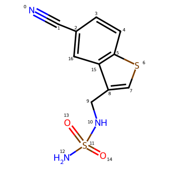 N#Cc1ccc2scc(CNS(N)(=O)=O)c2c1